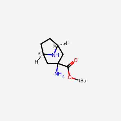 CC(C)(C)OC(=O)C1(N)C[C@H]2CC[C@@H](C1)N2